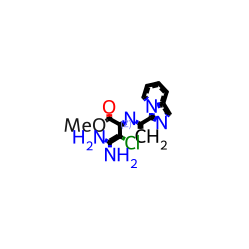 C=C(/N=C(/C(=O)OC)C(Cl)=C(N)N)c1ncc2ccccn12